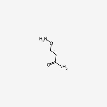 NOCCC(N)=O